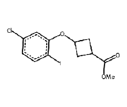 COC(=O)C1CC(Oc2cc(Cl)ccc2I)C1